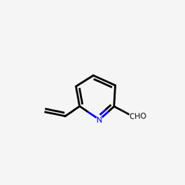 C=Cc1cccc(C=O)n1